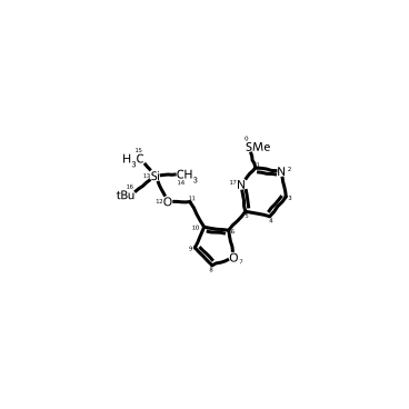 CSc1nccc(-c2occc2CO[Si](C)(C)C(C)(C)C)n1